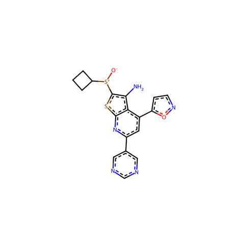 Nc1c([S+]([O-])C2CCC2)sc2nc(-c3cncnc3)cc(-c3ccno3)c12